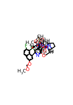 COCOc1cc(-c2nc3c4c(nc(S(C)(=O)=O)nc4c2F)N2C[C@H]4CC[C@@H]([C@H]2CCO3)N4C(=O)OC(C)(C)C)c2c(C#C[Si](C(C)C)(C(C)C)C(C)C)c(F)ccc2c1